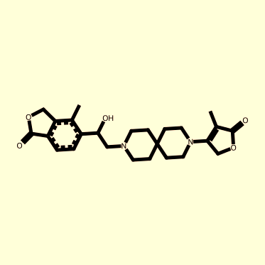 CC1=C(N2CCC3(CCN(CC(O)c4ccc5c(c4C)COC5=O)CC3)CC2)COC1=O